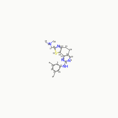 Cc1cc(C)cc(Nc2ncc3c(n2)-c2sc(CN(C)C)nc2CC3)c1